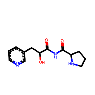 O=C(NC(=O)C1CCCN1)C(O)Cc1cccnc1